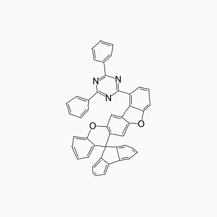 c1ccc(-c2nc(-c3ccccc3)nc(-c3cccc4oc5cc6c(cc5c34)Oc3ccccc3C63c4ccccc4-c4ccccc43)n2)cc1